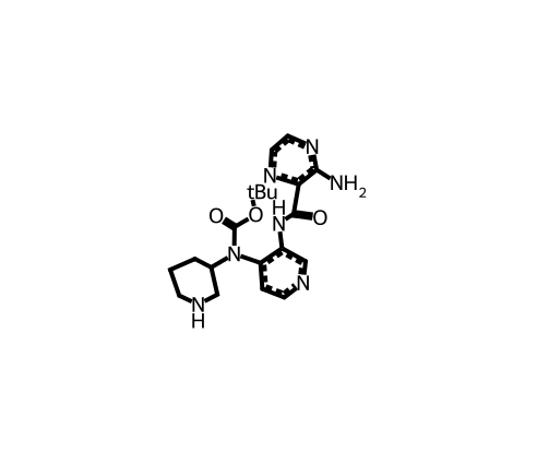 CC(C)(C)OC(=O)N(c1ccncc1NC(=O)c1nccnc1N)C1CCCNC1